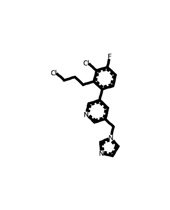 Fc1ccc(-c2cncc(Cn3ccnc3)c2)c(CCCCl)c1Cl